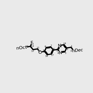 CCCCCCCCCCCc1cnc(-c2ccc(OCCC(F)CCCCCCCC)cc2)nc1